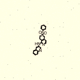 O=S(=O)(c1ccccc1)N1CCc2c(ccnc2Nc2cnc3ccccc3c2)C1